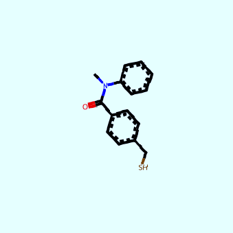 CN(C(=O)c1ccc(CS)cc1)c1ccccc1